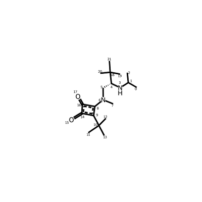 CC(C)N[C@H](CN(C)c1c(C(C)(C)C)c(=O)c1=O)C(C)(C)C